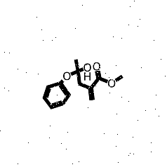 C=C(CC(C)(O)Oc1ccccc1)C(=O)OC